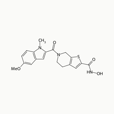 COc1ccc2c(c1)cc(C(=O)N1CCc3cc(C(=O)NO)sc3C1)n2C